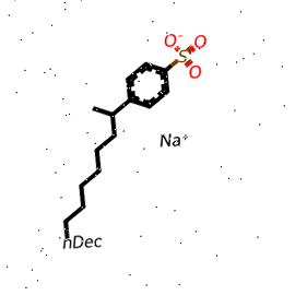 CCCCCCCCCCCCCCCCC(C)c1ccc(S(=O)(=O)[O-])cc1.[Na+]